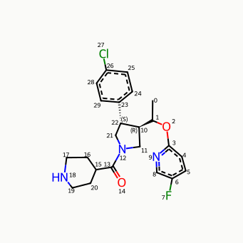 CC(Oc1ccc(F)cn1)[C@H]1CN(C(=O)C2CCNCC2)C[C@@H]1c1ccc(Cl)cc1